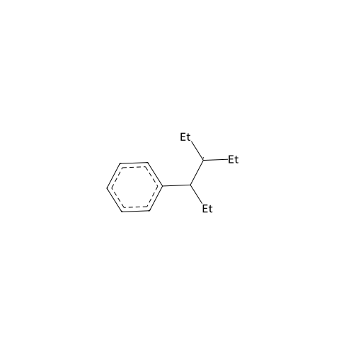 CC[C](CC)C(CC)c1ccccc1